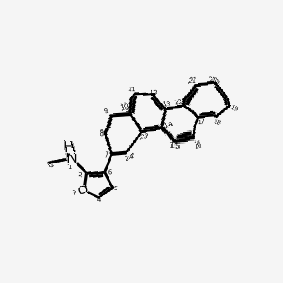 CNc1occc1C1CCc2ccc3c(ccc4ccccc43)c2C1